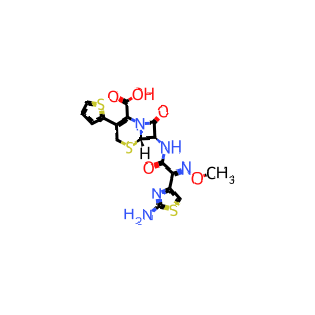 CON=C(C(=O)N[C@@H]1C(=O)N2C(C(=O)O)=C(c3cccs3)CS[C@@H]12)c1csc(N)n1